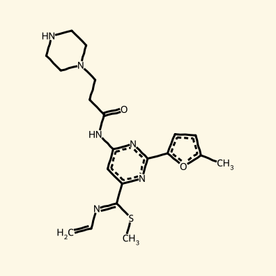 C=CN=C(SC)c1cc(NC(=O)CCN2CCNCC2)nc(-c2ccc(C)o2)n1